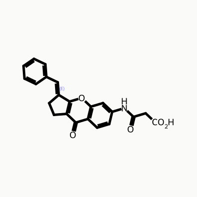 O=C(O)CC(=O)Nc1ccc2c(=O)c3c(oc2c1)/C(=C/c1ccccc1)CC3